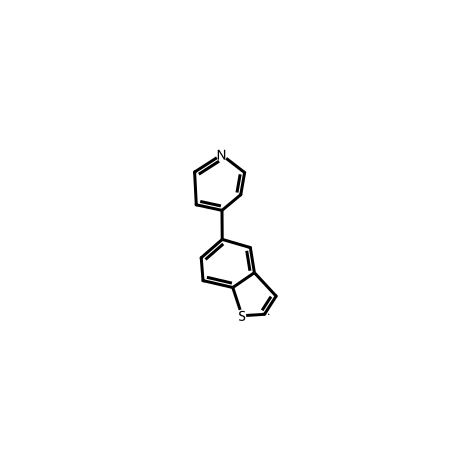 [c]1cc2cc(-c3ccncc3)ccc2s1